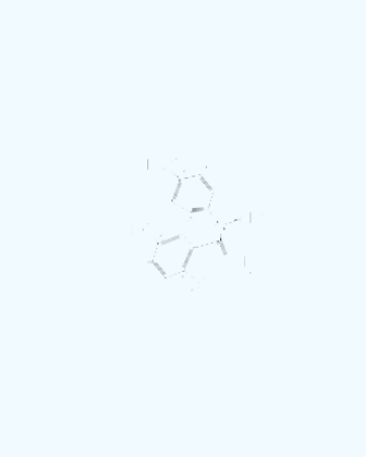 C=C(c1cc(C)ccc1Cl)N(CCC)c1ccc(C)cc1